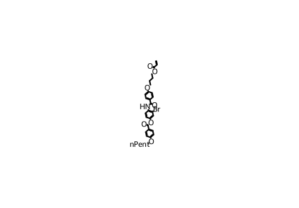 C=CC(=O)OCCCCOc1ccc(C(=O)Nc2ccc(OC(=O)c3ccc(OCCCCC)cc3)cc2Br)cc1